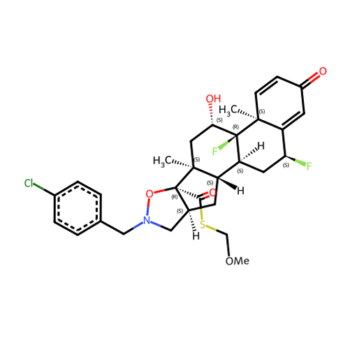 COCSC(=O)[C@@]12ON(Cc3ccc(Cl)cc3)C[C@@H]1C[C@H]1[C@@H]3C[C@H](F)C4=CC(=O)C=C[C@]4(C)[C@@]3(F)[C@@H](O)C[C@@]12C